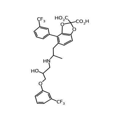 CC(Cc1ccc2c(c1-c1cccc(C(F)(F)F)c1)OC(C(=O)O)(C(=O)O)O2)NCC(O)COc1cccc(C(F)(F)F)c1